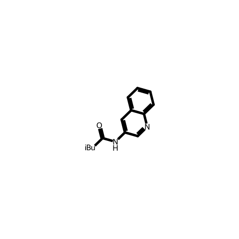 CCC(C)C(=O)Nc1cnc2ccccc2c1